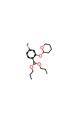 CCCOB(OCCC)c1ccc(F)cc1OC1CCCCO1